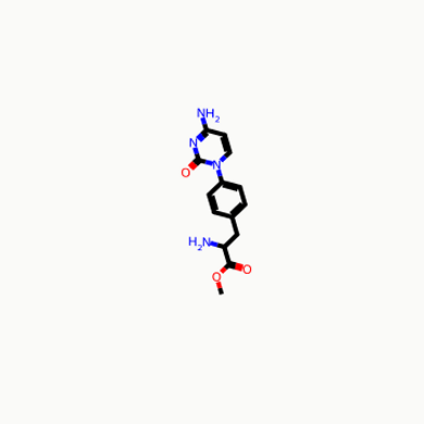 COC(=O)C(N)Cc1ccc(-n2ccc(N)nc2=O)cc1